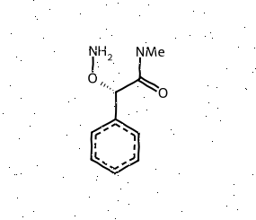 CNC(=O)[C@@H](ON)c1ccccc1